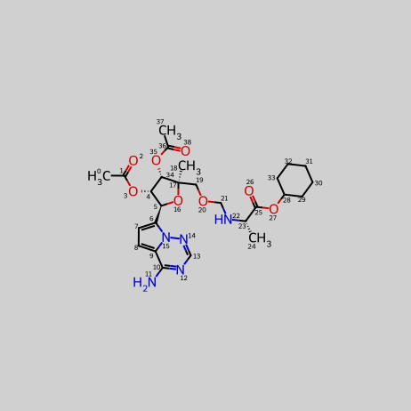 CC(=O)O[C@H]1[C@H](c2ccc3c(N)ncnn23)O[C@](C)(COCN[C@@H](C)C(=O)OC2CCCCC2)[C@H]1OC(C)=O